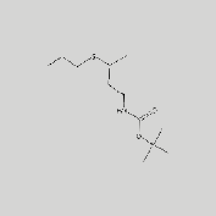 CCCSC(C)CCNC(=O)OC(C)(C)C